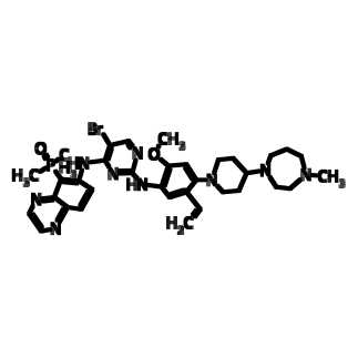 C=Cc1cc(Nc2ncc(Br)c(Nc3ccc4nccnc4c3P(C)(C)=O)n2)c(OC)cc1N1CCC(N2CCCN(C)CC2)CC1